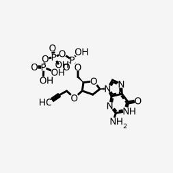 C#CCOC1C[C@H](n2cnc3c(=O)[nH]c(N)nc32)O[C@@H]1COP(=O)(O)OP(=O)(O)OP(=O)(O)O